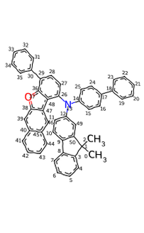 CC1(C)c2ccccc2-c2ccc(N(c3ccc(-c4ccccc4)cc3)c3ccc(-c4ccccc4)c4oc5cc6ccccc6cc5c34)cc21